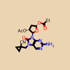 CCC(=O)O[C@H]1C[C@@H](OC(C)=O)[C@H](n2c(=O)n(CC3(C#N)CC3)c3cnc(N)nc32)O1